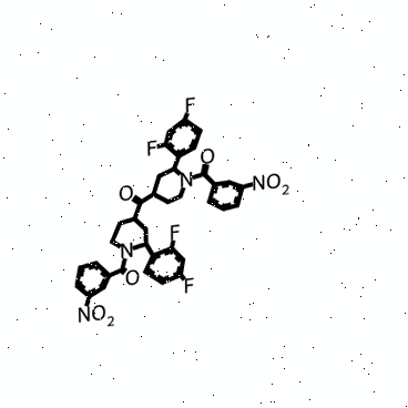 O=C(C1CCN(C(=O)c2cccc([N+](=O)[O-])c2)C(c2ccc(F)cc2F)C1)C1CCN(C(=O)c2cccc([N+](=O)[O-])c2)C(c2ccc(F)cc2F)C1